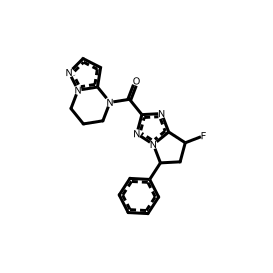 O=C(c1nc2n(n1)C(c1ccccc1)CC2F)N1CCCn2nccc21